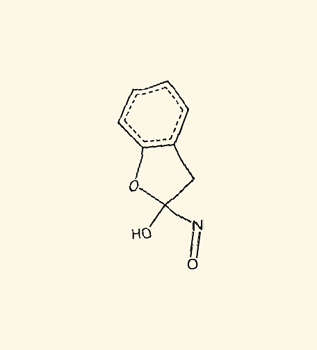 O=NC1(O)Cc2ccccc2O1